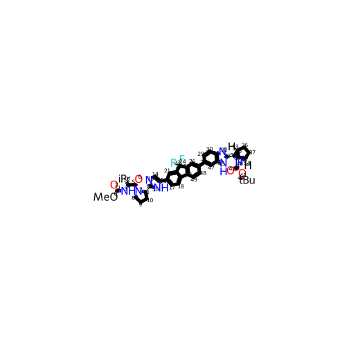 COC(=O)NC(C(=O)N1CCC[C@H]1c1ncc(-c2ccc3c(c2)C(F)(F)c2cc(-c4ccc5nc([C@@H]6[C@H]7CC[C@H](C7)N6C(=O)OC(C)(C)C)[nH]c5c4)ccc2-3)[nH]1)C(C)C